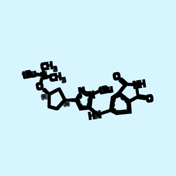 CC(C)(C)n1nc([C@H]2CC[C@@H](O[Si](C)(C)C(C)(C)C)C2)cc1Nc1ccc2c(c1)C(=O)NC2=O